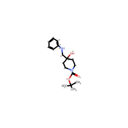 CC(C)(C)OC(=O)N1CCC(O)(CNc2ccccc2)CC1